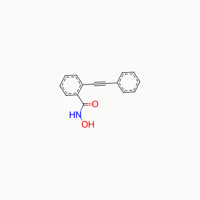 O=C(NO)c1ccccc1C#Cc1ccccc1